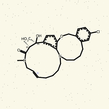 C[C@H]1C(=O)N(C)C/C=C/CCCCN2CCCCc3cc(Cl)ccc3COc3ccc(cc32)[C@@]1(O)C(=O)O